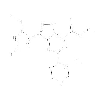 COC(=O)c1cc(N2CCOC[C@H]2C)nc2c(-c3cc(C)nn3PI)nsc12